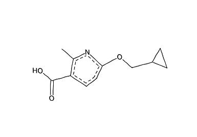 Cc1nc(OCC2CC2)ccc1C(=O)O